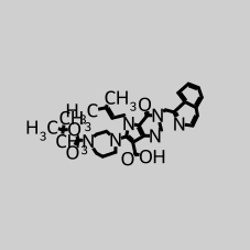 CC(C)=CCn1c(N2CCCN(C(=O)OC(C)(C)C)CC2)c(C(=O)O)c2ncn(Cc3nccc4ccccc34)c(=O)c21